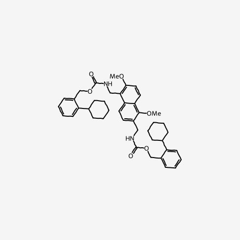 COc1ccc2c(OC)c(CNC(=O)OCc3ccccc3C3CCCCC3)ccc2c1CNC(=O)OCc1ccccc1C1CCCCC1